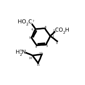 CC1(C(=O)O)C=CC=C(C(=O)O)C1.NC1CC1